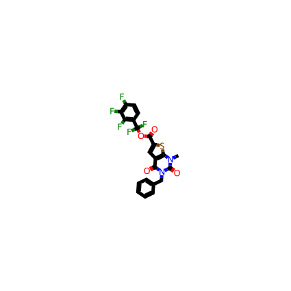 Cn1c(=O)n(Cc2ccccc2)c(=O)c2cc(C(=O)OC(F)(F)c3ccc(F)c(F)c3F)sc21